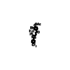 CCc1c(OOC(C)=O)ccc(C(=O)CCc2sc(-c3ccc(C(F)(F)F)cc3)nc2C(C)C)c1C